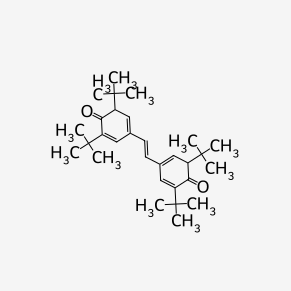 CC(C)(C)C1=CC(C=CC2=CC(C(C)(C)C)C(=O)C(C(C)(C)C)=C2)=CC(C(C)(C)C)C1=O